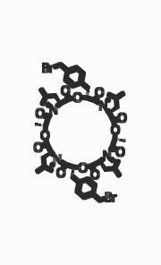 CC(C)C[C@H]1C(=O)O[C@H](Cc2ccc(CBr)cc2)C(=O)N(C)[C@@H](CC(C)C)C(=O)O[C@H](C)C(=O)N(C)[C@@H](CC(C)C)C(=O)O[C@H](Cc2ccc(CBr)cc2)C(=O)N(C)[C@@H](CC(C)C)C(=O)O[C@H](C)C(=O)N1C